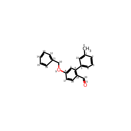 Cc1cccc(-c2cc(OCc3ccccc3)ccc2C=O)c1